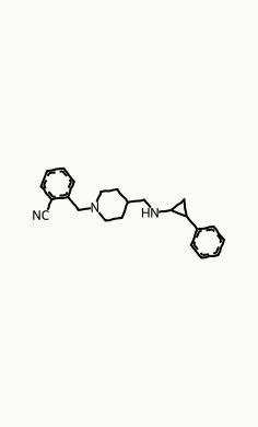 N#Cc1ccccc1CN1CCC(CNC2CC2c2ccccc2)CC1